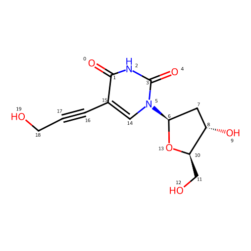 O=c1[nH]c(=O)n([C@H]2C[C@H](O)[C@@H](CO)O2)cc1C#CCO